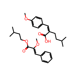 COC(=Cc1ccccc1)C(=O)OCCC(C)C.COc1ccc(C=C(CCC(C)C)C(=O)O)cc1